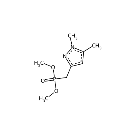 COP(=O)(Cc1cc(C)n(C)n1)OC